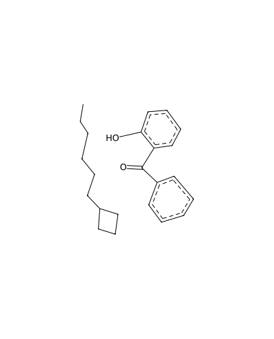 CCCCCCC1CCC1.O=C(c1ccccc1)c1ccccc1O